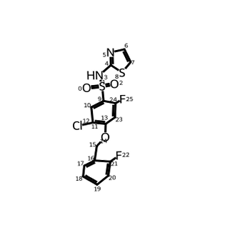 O=S(=O)(Nc1nccs1)c1cc(Cl)c(OCc2ccccc2F)cc1F